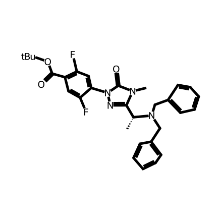 C[C@H](c1nn(-c2cc(F)c(C(=O)OC(C)(C)C)cc2F)c(=O)n1C)N(Cc1ccccc1)Cc1ccccc1